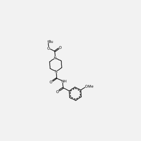 COc1cccc(C(=O)NC(=O)N2CCN(C(=O)OC(C)(C)C)CC2)c1